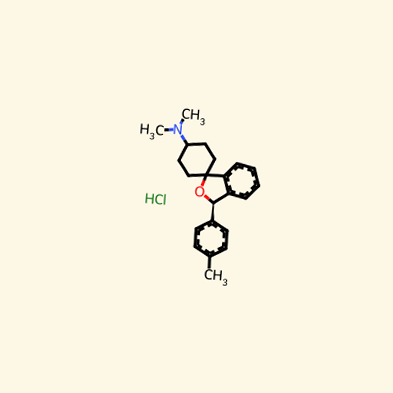 Cc1ccc([C@H]2OC3(CCC(N(C)C)CC3)c3ccccc32)cc1.Cl